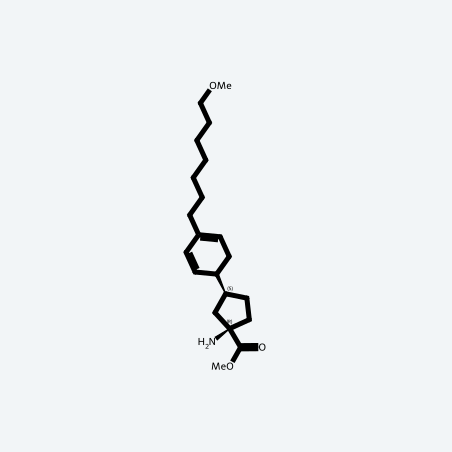 COCCCCCCCC1=CCC([C@H]2CC[C@](N)(C(=O)OC)C2)C=C1